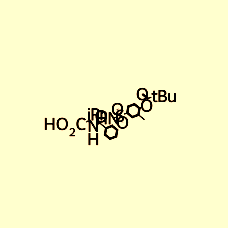 Cc1cc(S(=O)(=O)Nc2ccccc2C(=O)N[C@H](C(=O)O)C(C)C)ccc1OC(=O)C(C)(C)C